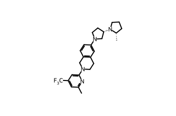 Cc1cc(C(F)(F)F)cc(N2CCc3cc(N4CC[C@H](N5CCC[C@@H]5C)C4)ccc3C2)n1